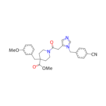 COC(=O)C1(Cc2cccc(OC)c2)CCN(C(=O)Cc2cncn2Cc2ccc(C#N)cc2)CC1